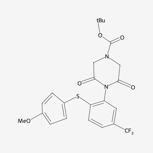 COc1ccc(Sc2ccc(C(F)(F)F)cc2N2C(=O)CN(C(=O)OC(C)(C)C)CC2=O)cc1